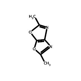 Cc1nc2nc(C)oc2o1